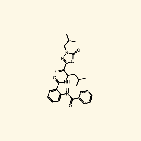 CC(C)CC(NC(=O)c1ccccc1NC(=O)c1ccccc1)C(=O)c1nn(CC(C)C)c(=O)o1